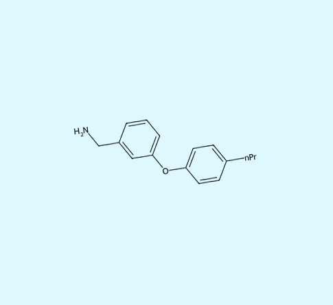 CCCc1ccc(Oc2cccc(CN)c2)cc1